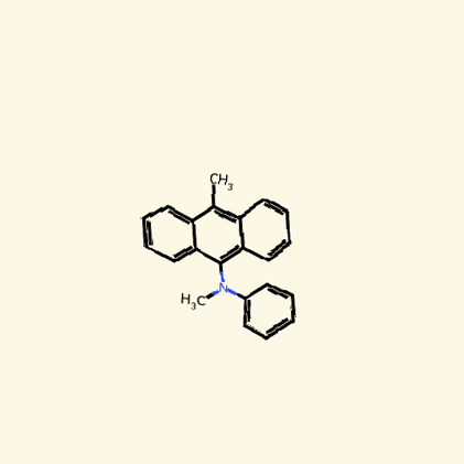 Cc1c2ccccc2c(N(C)c2ccccc2)c2ccccc12